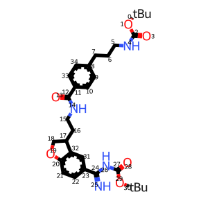 CC(C)(C)OC(=O)NCCCc1ccc(C(=O)NCCC2COc3ccc(C(=N)NC(=O)OC(C)(C)C)cc32)cc1